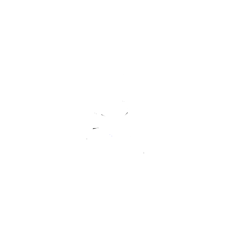 Cc1cc(Cl)ccc1[C@@]1(C#N)[C@H](CC(C)(C)C)N[C@@H](C(=O)OC(C)(C)C)[C@@H]1c1cccc(Cl)c1F